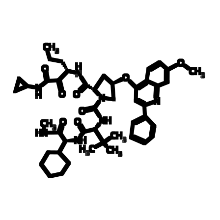 CCC[C@H](NC(=O)[C@@H]1C[C@@H](Oc2cc(-c3ccccc3)nc3cc(OC)ccc23)CN1C(=O)N[C@H](C(=O)N[C@H](C(=O)NC)C1CCCCC1)C(C)(C)C)C(=O)C(=O)NC1CC1